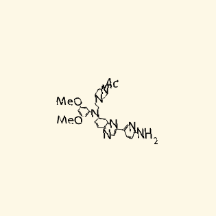 COc1cc(OC)cc(N(CCN2CCN(C(C)=O)CC2)c2ccc3ncc(-c4ccc(N)nc4)nc3c2)c1